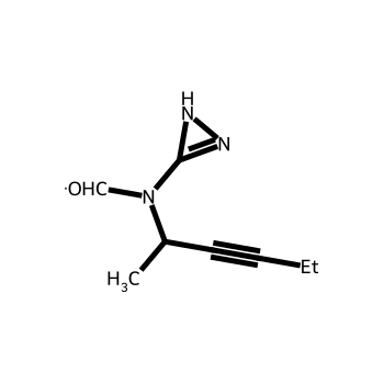 CCC#CC(C)N([C]=O)C1=NN1